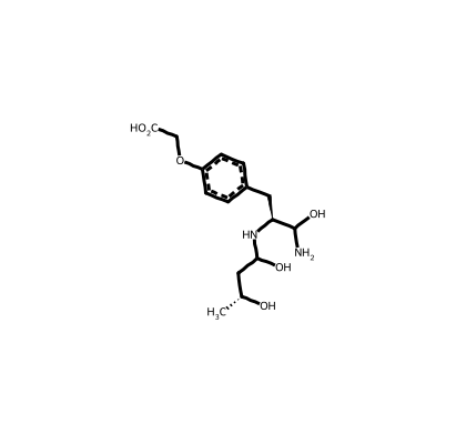 C[C@@H](O)CC(O)N[C@@H](Cc1ccc(OCC(=O)O)cc1)C(N)O